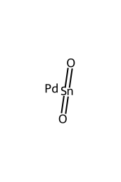 [O]=[Sn]=[O].[Pd]